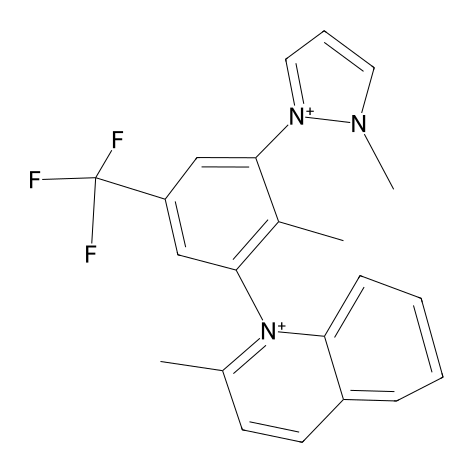 Cc1c(-[n+]2c(C)ccc3ccccc32)cc(C(F)(F)F)cc1-[n+]1cccn1C